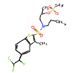 CCCN(CC(C)OS(C)(=O)=O)S(=O)(=O)c1sc2ccc(C(F)C(F)F)cc2c1C